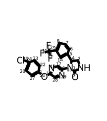 O=C1NCC(c2cccc(C(F)(F)F)c2)N1c1cnc(Oc2ccc(Cl)cc2)cn1